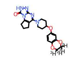 [2H]C1([2H])Oc2ccc(OC3CCN(c4nc5n[nH]c(=O)n5c5c4CCC5)CC3)cc2OC1([2H])[2H]